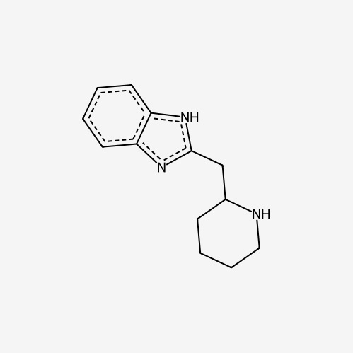 c1ccc2[nH]c(CC3CCCCN3)nc2c1